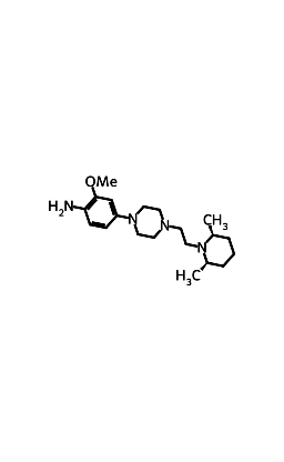 COc1cc(N2CCN(CCN3[C@H](C)CCC[C@@H]3C)CC2)ccc1N